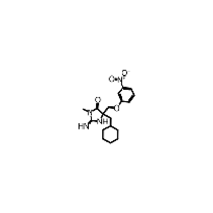 CN1C(=N)NC(COc2cccc([N+](=O)[O-])c2)(CC2CCCCC2)C1=O